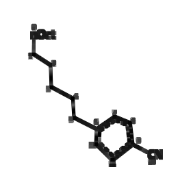 CCCCCCCCCCCCCc1ccc(C#N)cc1